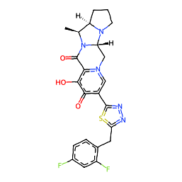 C[C@H]1[C@H]2CCCN2[C@@H]2Cn3cc(-c4nnc(Cc5ccc(F)cc5F)s4)c(=O)c(O)c3C(=O)N12